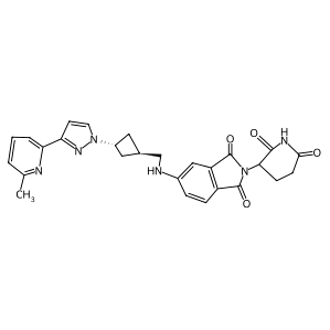 Cc1cccc(-c2ccn([C@H]3C[C@H](CNc4ccc5c(c4)C(=O)N(C4CCC(=O)NC4=O)C5=O)C3)n2)n1